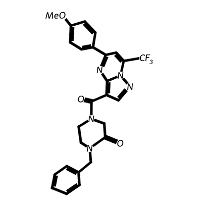 COc1ccc(-c2cc(C(F)(F)F)n3ncc(C(=O)N4CCN(Cc5ccccc5)C(=O)C4)c3n2)cc1